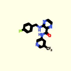 O=C(Nc1cncc(C(F)(F)F)c1)c1nccnc1NCc1ccc(F)cc1